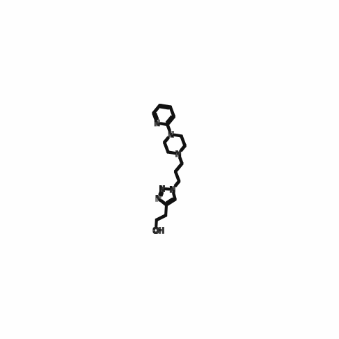 OCCc1cn(CCCN2CCN(c3ccccn3)CC2)nn1